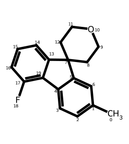 Cc1ccc2c(c1)C1(CCOCC1)c1cccc(F)c1-2